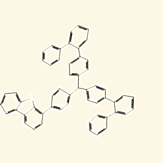 c1ccc(-c2ccccc2-c2ccc(C(c3ccc(-c4ccccc4-c4ccccc4)cc3)c3ccc(-c4cccc5c4oc4ccccc45)cc3)cc2)cc1